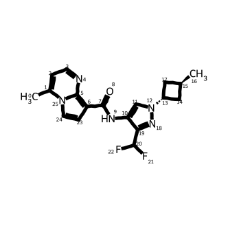 Cc1ccnc2c(C(=O)Nc3cn([C@H]4C[C@H](C)C4)nc3C(F)F)ccn12